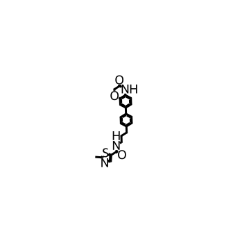 Cc1ncc(C(=O)NCCCc2ccc(-c3ccc4c(c3)OCC(=O)N4)cc2)s1